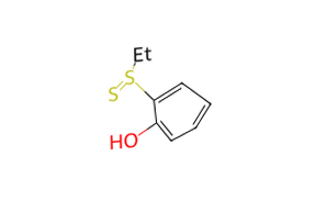 CCS(=S)c1ccccc1O